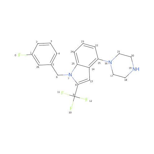 Fc1cccc(Cn2c(C(F)(F)F)cc3c(N4CCNCC4)cccc32)c1